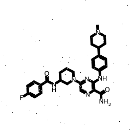 CN1CCC(c2ccc(Nc3nc(N4CCCC(NC(=O)c5ccc(F)cc5)C4)cnc3C(N)=O)cc2)CC1